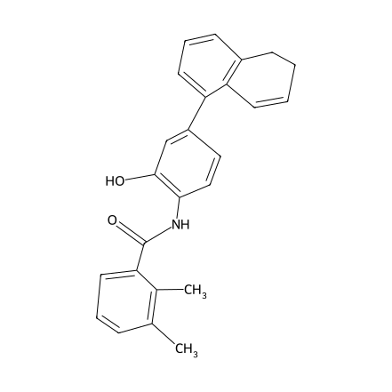 Cc1cccc(C(=O)Nc2ccc(-c3cccc4c3C=CCC4)cc2O)c1C